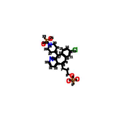 CS(=O)(=O)OCCCC1=Cc2cc(Cl)ccc2C(C2CCN(S(C)(=O)=O)CC2)c2ncccc21